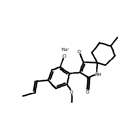 C/C=C/c1cc(Cl)c(C2=C([O-])C3(CCC(C)CC3)NC2=O)c(OC)c1.[Na+]